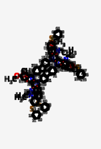 CCn1c2cc(Sc3ccccc3)ccc2c2ccc(N(c3ccc(OC)cc3)c3ccc4c(c3)C3(c5cc(N(c6ccc(OC)cc6)c6ccc7c8ccc(Sc9ccccc9)cc8n(CC)c7c6)ccc5-4)c4cc(N(c5ccc(OC)cc5)c5ccc6c7ccc(Sc8ccccc8)cc7n(CC)c6c5)ccc4-c4ccc(N(c5ccc(OC)cc5)c5ccc6c7ccc(Sc8ccccc8)cc7n(CC)c6c5)cc43)cc21